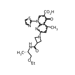 CCOC[C@H](C)NC(=O)C1CN(c2cc(C)c3c(=O)c(C(=O)O)cn(-c4nccs4)c3n2)C1